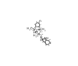 COc1ccc(F)cc1C(C)(C)CC(C)(O)CNc1cc2ccncc2[nH]1